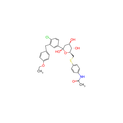 CCOc1ccc(Cc2cc([C@]3(O)C[C@@H](O)[C@H](O)[C@@H](CSc4ccc(NC(C)=O)cc4)O3)ccc2Cl)cc1